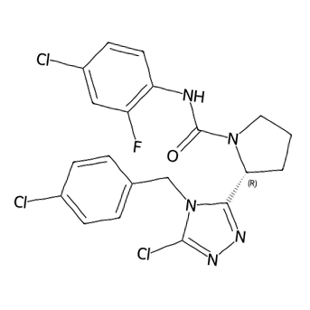 O=C(Nc1ccc(Cl)cc1F)N1CCC[C@@H]1c1nnc(Cl)n1Cc1ccc(Cl)cc1